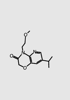 COCCN1C(=O)COc2cc(C(C)C)cnc21